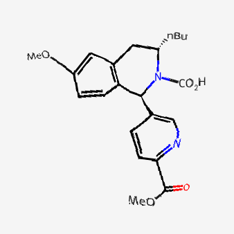 CCCC[C@H]1Cc2cc(OC)ccc2[C@H](c2ccc(C(=O)OC)nc2)N1C(=O)O